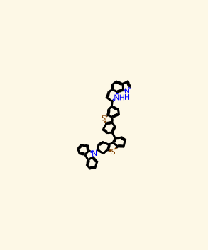 C1=CC(c2ccc3c(c2)sc2ccc(-c4cccc5sc6c(c45)C=CC(n4c5ccccc5c5ccccc54)C6)cc23)Nc2c1ccc1cc[nH]c21